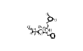 CC(C)[C@H](NC(=O)C(Cc1ccccc1)NC(=O)CSc1cc(Cl)cc(Cl)c1)C(=O)C(F)(F)C(=O)NCC(F)(F)F